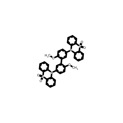 COc1ccc(N2c3ccccc3S(=O)(=O)c3ccccc32)cc1-c1cc(N2c3ccccc3S(=O)(=O)c3ccccc32)ccc1OC